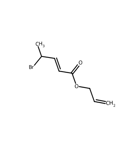 C=CCOC(=O)C=CC(C)Br